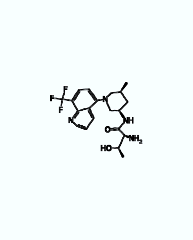 C[C@H]1C[C@@H](NC(=O)[C@@H](N)[C@@H](C)O)CN(c2ccc(C(F)(F)F)c3ncccc23)C1